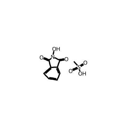 CS(=O)(=O)O.O=C1c2ccccc2C(=O)N1O